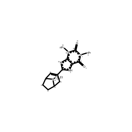 CCCn1c(=O)c2[nH]c(C3=CC4CCC(C3)N4C(=O)OCC)nc2n(CCC)c1=O